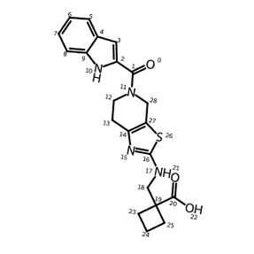 O=C(c1cc2ccccc2[nH]1)N1CCc2nc(NCC3(C(=O)O)CCC3)sc2C1